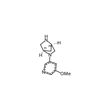 COc1cncc(N2C[C@H]3C[C@@H]2CN3)c1